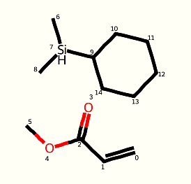 C=CC(=O)OC.C[SiH](C)C1CCCCC1